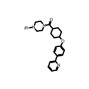 CC(C)N1CCN(C(=O)C2CCC(Oc3ccc(-c4ccccn4)cc3)CC2)CC1